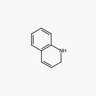 [c]1cccc2c1C=CCN2